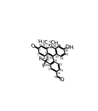 C[Si]1(C)C2=CC(=O)C=CC2=C(c2ccc(C=O)cc2C(F)(F)F)c2ccc(O)cc21